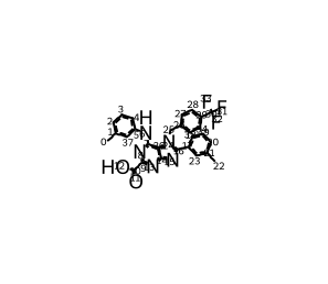 Cc1cccc(Nc2nc(C(=O)O)nc3nc(-c4cccc(C)c4)n(Cc4ccc(C(F)(F)F)cc4)c23)c1